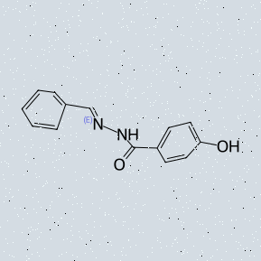 O=C(N/N=C/c1ccccc1)c1ccc(O)cc1